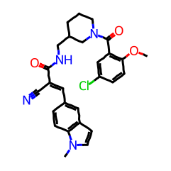 COc1ccc(Cl)cc1C(=O)N1CCCC(CNC(=O)/C(C#N)=C/c2ccc3c(ccn3C)c2)C1